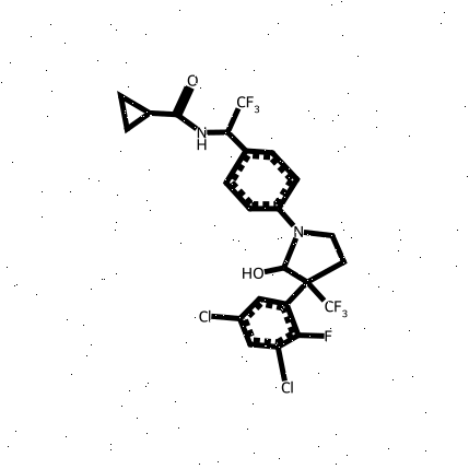 O=C(NC(c1ccc(N2CCC(c3cc(Cl)cc(Cl)c3F)(C(F)(F)F)C2O)cc1)C(F)(F)F)C1CC1